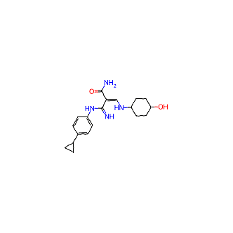 N=C(Nc1ccc(C2CC2)cc1)/C(=C\NC1CCC(O)CC1)C(N)=O